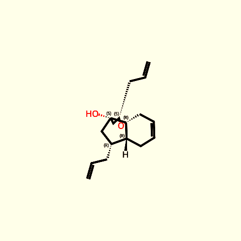 C=CC[C@H]1C[C@@]2(O)C[C@@H](CC=C)[C@H]3CC=CC[C@@]32O1